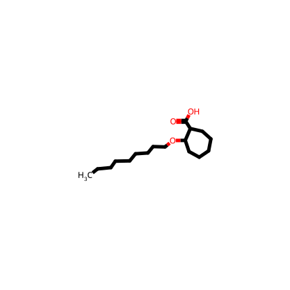 CCCCCCCCCOC1CCCCCC1C(=O)O